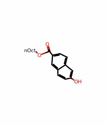 CCCCCCCCOC(=O)c1ccc2cc(O)ccc2c1